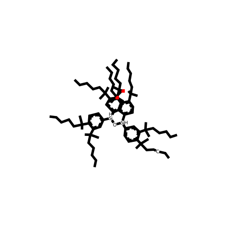 CCCCCC(C)(C)c1ccc([SiH](O[SiH](c2ccc(C(C)(C)CCCCC)c(C(C)(C)CCCCC)c2)c2ccc(C(C)(C)CCCCC)c(C(C)(C)CCCCC)c2)c2ccc(C(C)(C)CCCCC)c(C(C)(C)CCCCC)c2)cc1C(C)(C)CCCCC